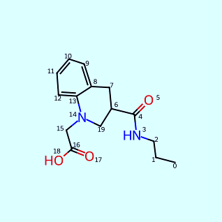 CCCNC(=O)C1Cc2ccccc2N(CC(=O)O)C1